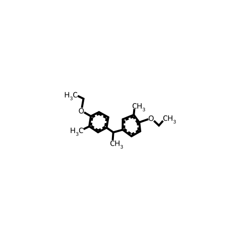 CCOc1ccc(C(C)c2ccc(OCC)c(C)c2)cc1C